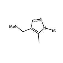 CCn1ncc(CNC)c1C